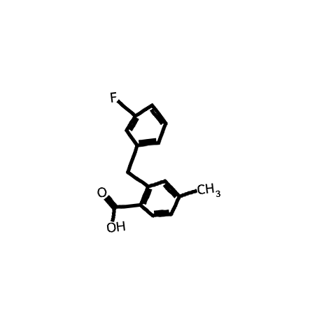 Cc1ccc(C(=O)O)c(Cc2cccc(F)c2)c1